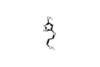 C/C=C\C=N/c1cc(C)n[nH]1